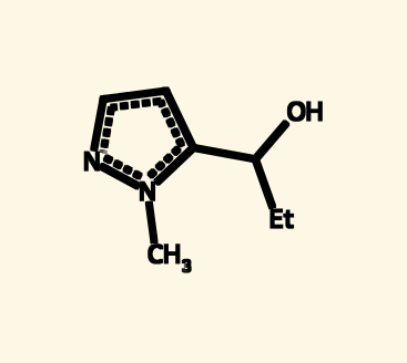 CCC(O)c1ccnn1C